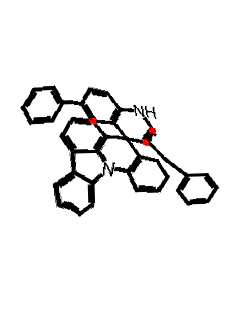 C1=CC2=C(CC1)C1(c3cc(-c4ccccc4)ccc3Nc3ccc(-c4ccccc4)cc31)c1cccc3c4ccccc4n2c13